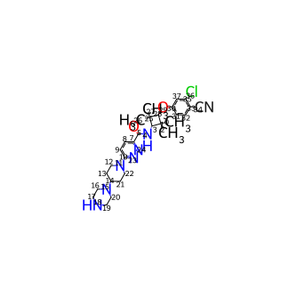 CC1(C)[C@H](NC(=O)c2ccc(N3CCC(N4CCNCC4)CC3)nn2)C(C)(C)[C@H]1Oc1ccc(C#N)c(Cl)c1